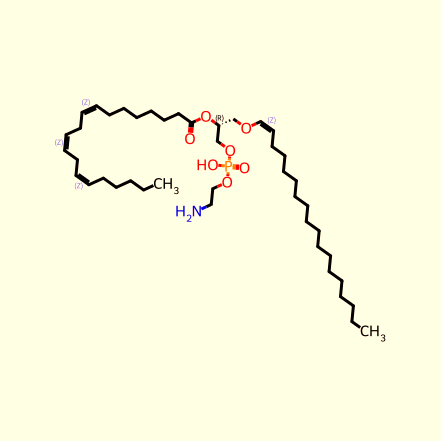 CCCCC/C=C\C/C=C\C/C=C\CCCCCCC(=O)O[C@H](CO/C=C\CCCCCCCCCCCCCCCC)COP(=O)(O)OCCN